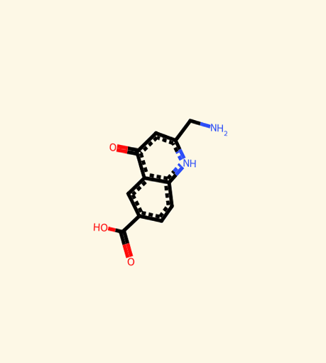 NCc1cc(=O)c2cc(C(=O)O)ccc2[nH]1